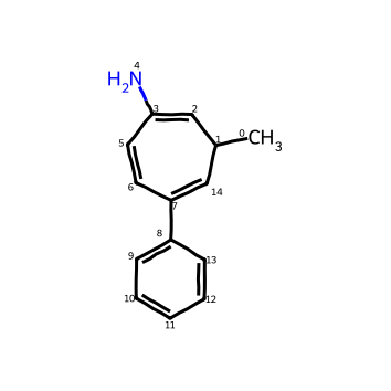 CC1C=C(N)C=CC(c2ccccc2)=C1